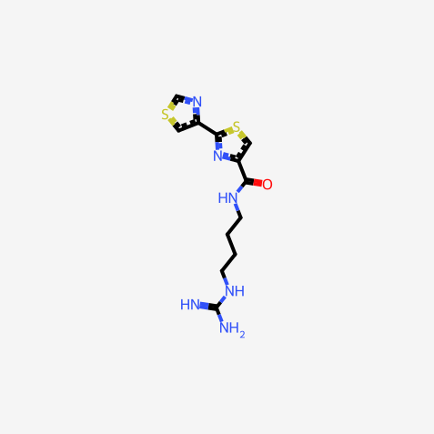 N=C(N)NCCCCNC(=O)c1csc(-c2cscn2)n1